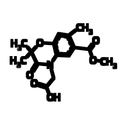 COC(=O)c1cc2c(cc1C)OC(C)(C)C(=O)N2CC(=O)O